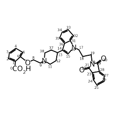 O=C(O)c1ccccc1OCCN1CCC(c2cn(CCCN3C(=O)c4ccccc4C3=O)c3ccccc23)CC1